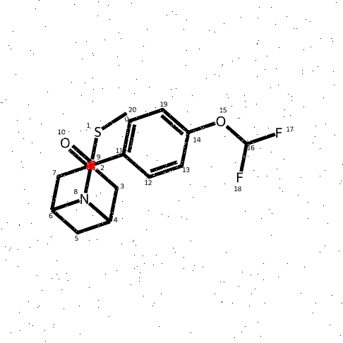 CSN1CC2CC(C1)N2C(=O)c1ccc(OC(F)F)cc1